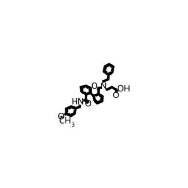 COc1ccc(CNC(=O)c2ccccc2-c2ccccc2C(=O)N(CCC(=O)O)CCc2ccccc2)cc1